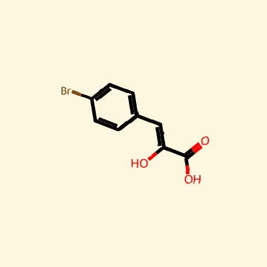 O=C(O)C(O)=Cc1ccc(Br)cc1